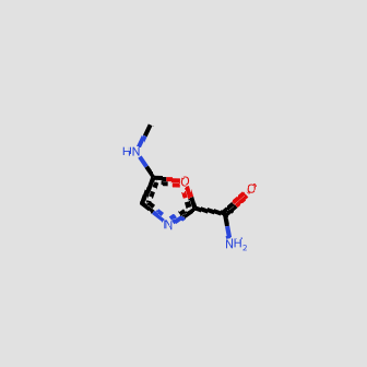 CNc1cnc(C(N)=O)o1